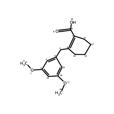 COc1cc(CC2=C(C(=O)O)CCCC2)cc(OC)c1